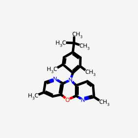 Cc1cnc2c(c1)Oc1nc(C)ccc1N2c1c(C)cc(C(C)(C)C)cc1C